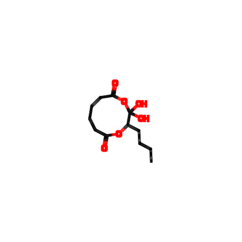 CCCCC1OC(=O)CCCCC(=O)OC1(O)O